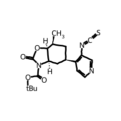 C[C@H]1C[C@@H](c2ccncc2N=C=S)C[C@@H]2[C@H]1OC(=O)N2C(=O)OC(C)(C)C